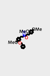 COc1ccc(C=CC(=O)NCCc2ccc(OC)c(OCc3ccccc3)c2)c(OC)c1